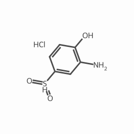 Cl.Nc1cc([SH](=O)=O)ccc1O